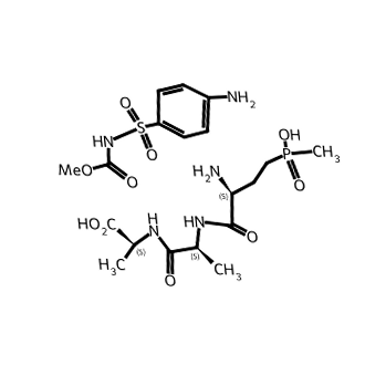 COC(=O)NS(=O)(=O)c1ccc(N)cc1.C[C@H](NC(=O)[C@H](C)NC(=O)[C@@H](N)CCP(C)(=O)O)C(=O)O